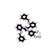 O=Cc1ccc(-n2cc(-c3ccccc3OCc3ccccc3)nc2-c2ccccc2OCc2ccccc2)cc1C(F)(F)F